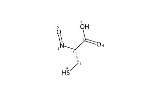 O=N[C@@H](CS)C(=O)O